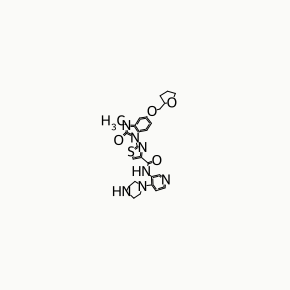 Cn1c(=O)n(-c2nc(C(=O)Nc3cnccc3N3CCNCC3)cs2)c2ccc(OCC3CCCO3)cc21